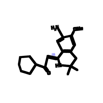 COc1cc2c(cc1N)/C(=C/C(=O)C1CCCCC1)NC(C)(C)C2